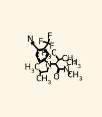 CC(C)CN(c1ccc(C#N)c(C(F)(F)F)c1)[C@H](C(=O)N(C)C)C(C)C